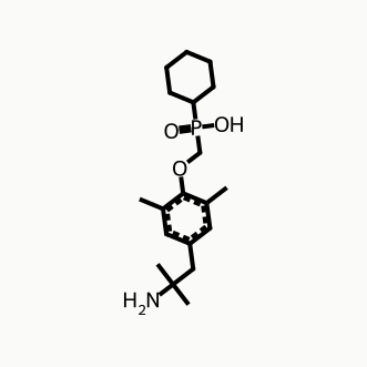 Cc1cc(CC(C)(C)N)cc(C)c1OCP(=O)(O)C1CCCCC1